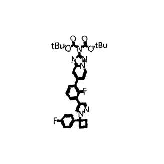 CC(C)(C)OC(=O)N(C(=O)OC(C)(C)C)c1nc2cc(-c3cccc(-c4cnn(C5(c6ccc(F)cc6)CCC5)c4)c3F)ccn2n1